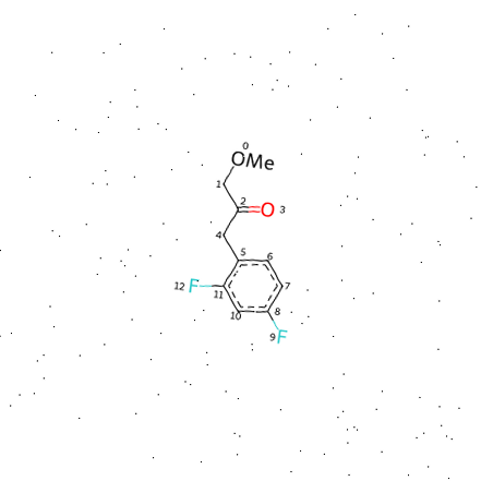 COCC(=O)Cc1ccc(F)cc1F